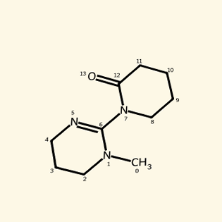 CN1CCCN=C1N1CCCCC1=O